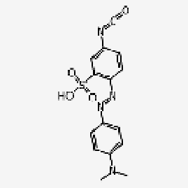 CN(C)c1ccc(N=Nc2ccc(N=C=O)cc2S(=O)(=O)O)cc1